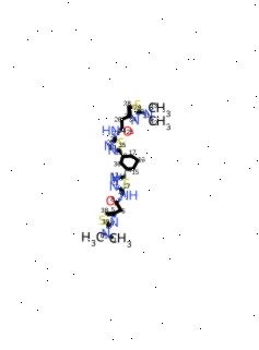 CN(C)c1nc(CC(=O)Nc2nnc([C@H]3CCC[C@H](c4nnc(NC(=O)Cc5csc(N(C)C)n5)s4)C3)s2)cs1